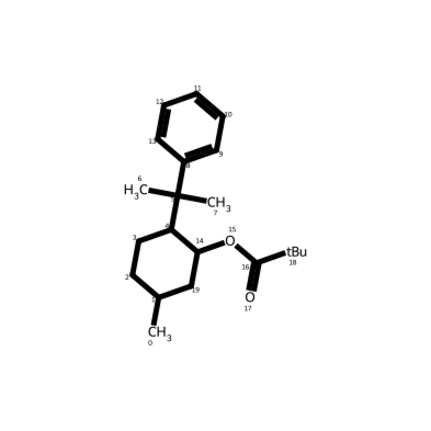 CC1CCC(C(C)(C)c2ccccc2)C(OC(=O)C(C)(C)C)C1